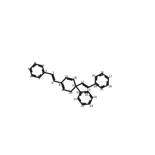 C(=Cc1ccccc1)C1=CCC(C=Cc2ccccc2)(c2ccccc2)C=C1